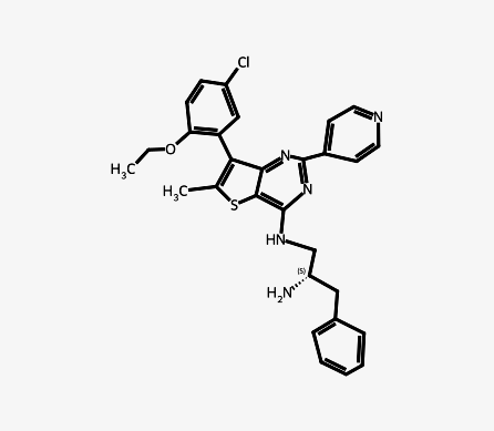 CCOc1ccc(Cl)cc1-c1c(C)sc2c(NC[C@@H](N)Cc3ccccc3)nc(-c3ccncc3)nc12